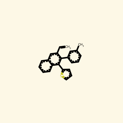 C=Cc1cc2ccccc2c(-c2cccs2)c1-c1cccc(C)c1